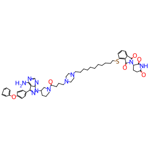 Nc1ncnc2c1c(-c1ccc(Oc3ccccc3)cc1)nn2C1CCCN(C(=O)CCCN2CCN(CCCCCCCCCCCSc3cccc4c3C(=O)N(C3CCC(=O)NC3=O)C4=O)CC2)C1